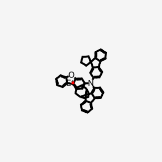 CCC1CC2CCCC(C1)C21c2ccccc2-c2cccc(N(c3ccc4c(c3)C3(CCCC3)c3ccccc3-4)c3ccc4c(c3)oc3ccccc34)c21